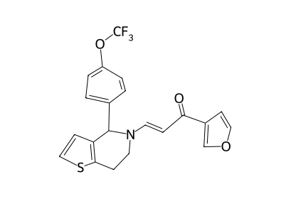 O=C(C=CN1CCc2sccc2C1c1ccc(OC(F)(F)F)cc1)c1ccoc1